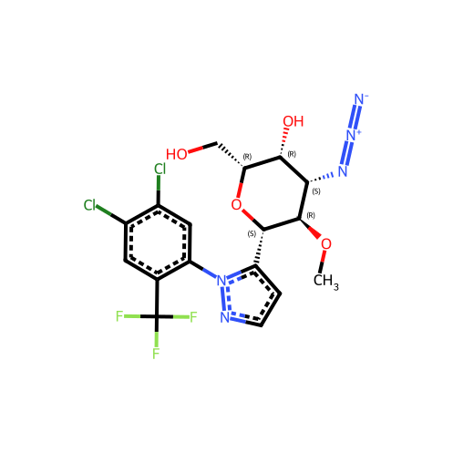 CO[C@@H]1[C@@H](N=[N+]=[N-])[C@@H](O)[C@@H](CO)O[C@H]1c1ccnn1-c1cc(Cl)c(Cl)cc1C(F)(F)F